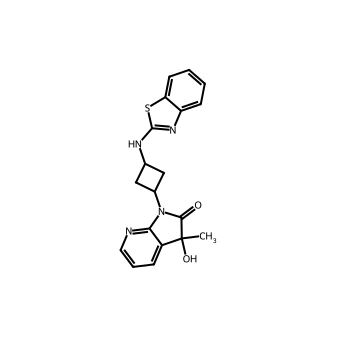 CC1(O)C(=O)N(C2CC(Nc3nc4ccccc4s3)C2)c2ncccc21